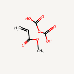 C=CC(=O)OC.O=C(O)OC(=O)O